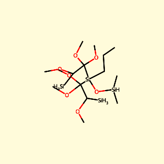 CCC[Si](O[SiH](C)C)(C(OC)(OC)C([SiH3])OC)C(OC)(OC)C([SiH3])OC